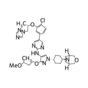 COC(C)CCOc1nn([C@H]2CC[C@H](N3[C@@H]4CC[C@H]3COC4)CC2)cc1Nc1ncc(-c2ccc(Cl)c(O[C@@H](C)Cn3cncn3)c2)cn1